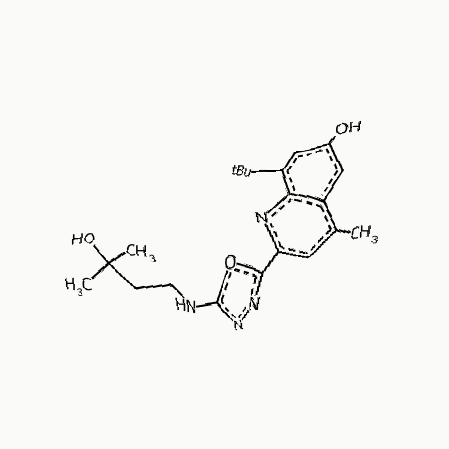 Cc1cc(-c2nnc(NCCC(C)(C)O)o2)nc2c(C(C)(C)C)cc(O)cc12